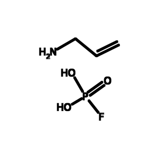 C=CCN.O=P(O)(O)F